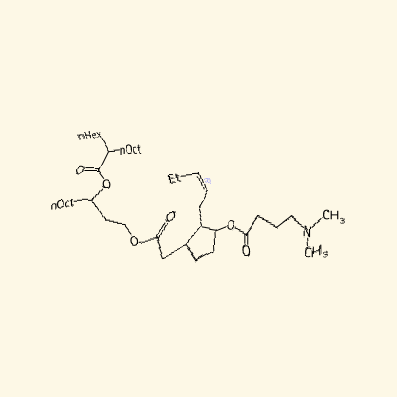 CC/C=C\CC1C(CC(=O)OCCC(CCCCCCCC)OC(=O)C(CCCCCC)CCCCCCCC)CCC1OC(=O)CCCN(C)C